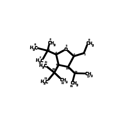 CCC1OC(C(C)(C)C)C(C(C)(C)C)C1C(C)C